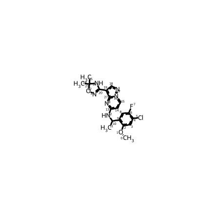 COc1cc(Cl)c(F)cc1C(C)Nc1ccn2ncc(C3=NOC(C)(C)N3)c2n1